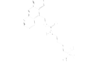 O=C(NCCCC[Si](Cl)(Cl)Cl)OCc1c2ccccc2cc2ccccc12